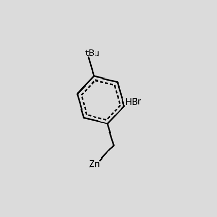 Br.CC(C)(C)c1ccc([CH2][Zn])cc1